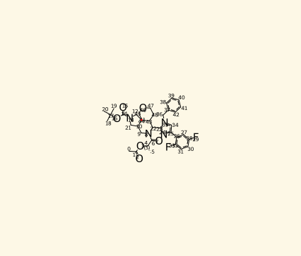 CC(=O)O[C@@H](C)C(=O)N(CC1CCN(C(=O)OC(C)(C)C)C1)C(c1nc(-c2cc(F)ccc2F)cn1Cc1ccccc1)C1CCOCC1